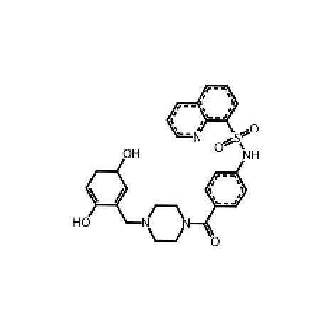 O=C(c1ccc(NS(=O)(=O)c2cccc3cccnc23)cc1)N1CCN(CC2=CC(O)CC=C2O)CC1